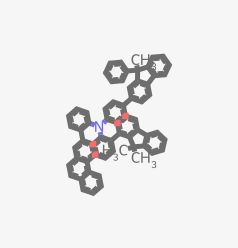 CC1(C)c2ccccc2-c2cccc(-c3ccccc3N(c3ccc(-c4ccc5c(c4)C(C)(c4ccccc4)c4ccccc4-5)cc3)c3ccccc3-c3ccc4c(ccc5ccccc54)c3)c21